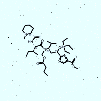 CCCC(=O)OCN(C(=O)[C@@H](NC(=O)[C@H]1CCCCN1C)C(C)CC)[C@H](C[C@@H](O[Si](CC)(CC)CC)c1nc(C(=O)OC)cs1)C(C)C